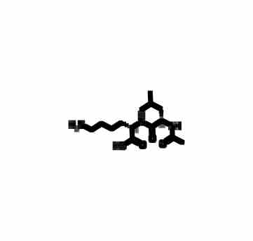 CC(=O)N[C@@H](CC(C)C)C(=O)N[C@@H](CCCCN)C(=O)O